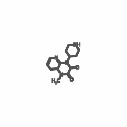 Cn1c(=O)c(=O)n(C2CCNCC2)c2ncccc21